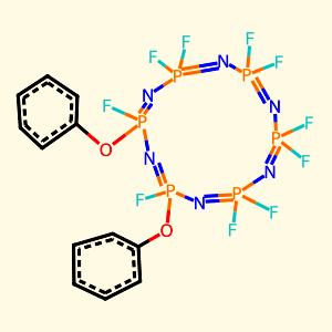 FP1(F)=NP(F)(F)=NP(F)(F)=NP(F)(Oc2ccccc2)=NP(F)(Oc2ccccc2)=NP(F)(F)=N1